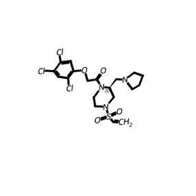 C=CS(=O)(=O)N1CCN(C(=O)COc2cc(Cl)c(Cl)cc2Cl)[C@@H](CN2CCCC2)C1